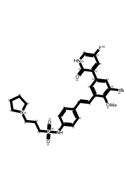 COc1c(/C=C/c2ccc(NS(=O)(=O)CCCN3CCCC3)cc2)cc(-c2cc(F)c[nH]c2=O)cc1C(C)(C)C